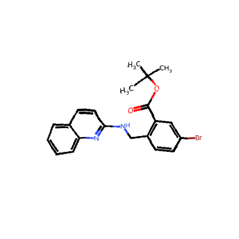 CC(C)(C)OC(=O)c1cc(Br)ccc1CNc1ccc2ccccc2n1